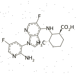 C[C@H]1CCC[C@H](C(=O)O)C1Nc1c(F)cnc2c1ccn2-c1cc(F)cnc1N